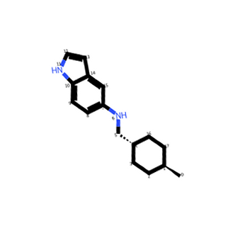 C[C@H]1CC[C@H](CNc2ccc3[nH]ccc3c2)CC1